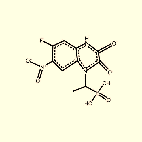 CC(n1c(=O)c(=O)[nH]c2cc(F)c([N+](=O)[O-])cc21)P(=O)(O)O